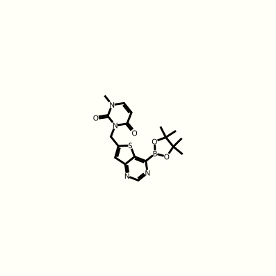 Cn1ccc(=O)n(Cc2cc3ncnc(B4OC(C)(C)C(C)(C)O4)c3s2)c1=O